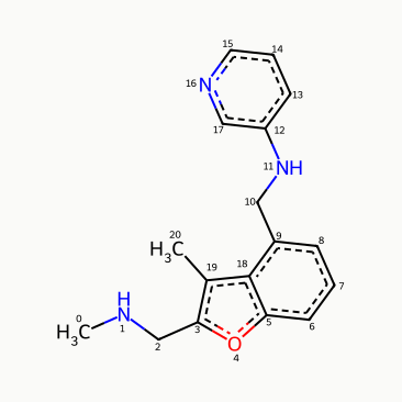 CNCc1oc2cccc(CNc3cccnc3)c2c1C